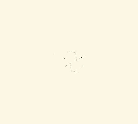 CC1(C(=O)O)CC[C@@H]2CCC[C@@H]21